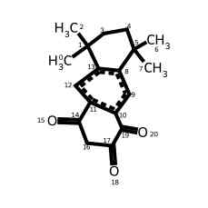 CC1(C)CCC(C)(C)c2cc3c(cc21)C(=O)CC(=O)C3=O